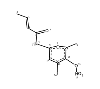 C/C=C/C(=O)Nc1cc(C)c(O[N+](=O)[O-])c(C)c1